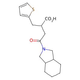 O=C(O)C(CC(=O)N1CC2CCCCC2C1)Cc1cccs1